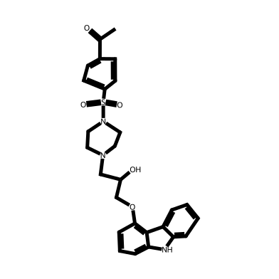 CC(=O)c1ccc(S(=O)(=O)N2CCN(CC(O)COc3cccc4[nH]c5ccccc5c34)CC2)cc1